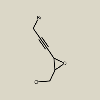 ClCC1OC1C#CCBr